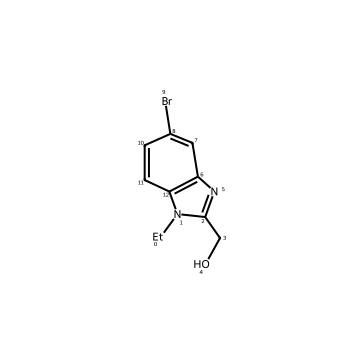 CCn1c(CO)nc2cc(Br)ccc21